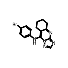 Brc1ccc(Nc2c3c(nc4ncnn24)CCCC3)cc1